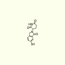 O=C1CCC(N2Cc3ccc(S)cc3C2=O)C(=O)N1